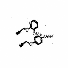 C#CCOc1ccc(OC)cc1.C#CCOc1ccccc1OC